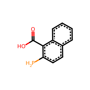 O=C(O)c1c(P)ccc2ccccc12